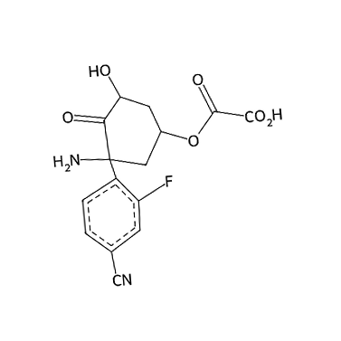 N#Cc1ccc(C2(N)CC(OC(=O)C(=O)O)CC(O)C2=O)c(F)c1